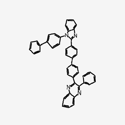 c1ccc(-c2ccc(-n3c(-c4ccc(-c5ccc(-c6nc7ccccc7nc6-c6ccccc6)cc5)cc4)nc4ccccc43)cc2)cc1